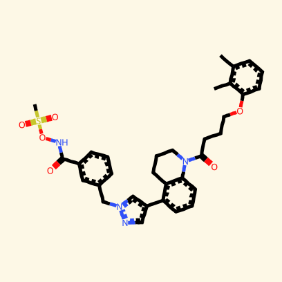 Cc1cccc(OCCCC(=O)N2CCCc3c(-c4cnn(Cc5cccc(C(=O)NOS(C)(=O)=O)c5)c4)cccc32)c1C